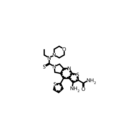 CCN(C(=S)N1Cc2nc3sc(C(N)=O)c(N)c3c(-c3cccs3)c2C1)N1CCOCC1